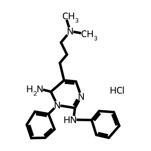 CN(C)CCCC1=CN=C(Nc2ccccc2)N(c2ccccc2)C1N.Cl